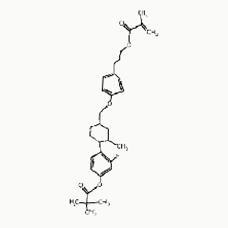 C=C(C)C(=O)OCCCc1ccc(OCC2CCC(c3ccc(OC(=O)C(C)(C)C)cc3F)C(C)C2)cc1